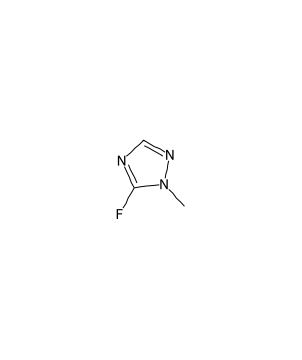 Cn1ncnc1F